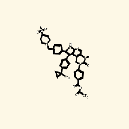 CN1C(=O)N(c2ccc(C(=O)OC(=O)C(F)(F)F)cc2)Cc2c1cnc1[nH]c(-c3ccc(CN4CCC(S(C)(=O)=O)CC4)cc3)c(-c3ccc(C4(N)CC4)cc3)c21